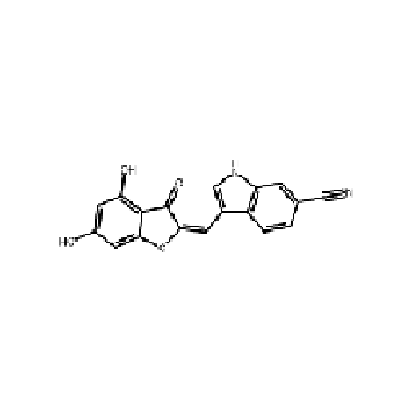 N#Cc1ccc2c(/C=C3/Oc4cc(O)cc(O)c4C3=O)c[nH]c2c1